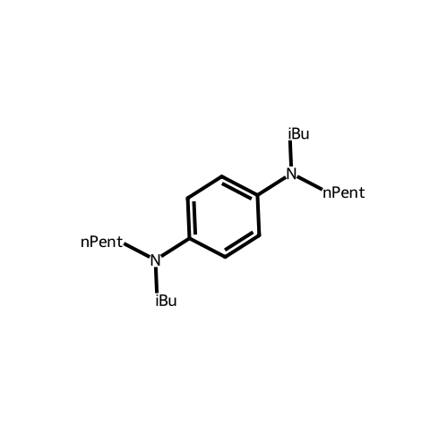 CCCCCN(c1ccc(N(CCCCC)C(C)CC)cc1)C(C)CC